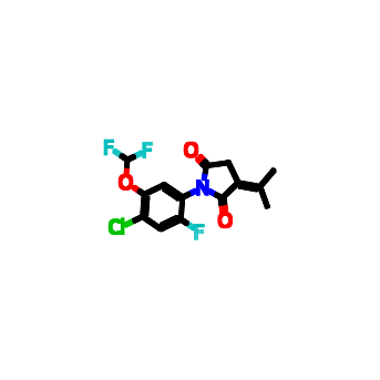 CC(C)=C1CC(=O)N(c2cc(OC(F)F)c(Cl)cc2F)C1=O